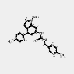 CCCCn1ncc2c(-c3ccc(C)cn3)cc(OC(=O)NCc3cnc(C)cn3)cc21